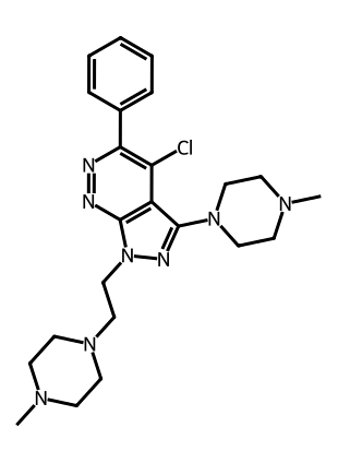 CN1CCN(CCn2nc(N3CCN(C)CC3)c3c(Cl)c(-c4ccccc4)nnc32)CC1